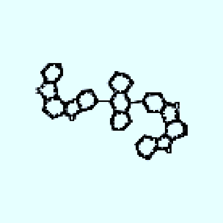 c1ccc2c(c1)oc1ccc3oc4ccc(-c5c6ccccc6c(-c6ccc7c(c6)oc6ccc8sc9ccccc9c8c67)c6ccccc56)cc4c3c12